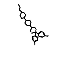 CCCC1CCC(C2CCC(C3COC(c4ccc(F)cc4)(c4ccc(F)cc4)OC3)CC2)CC1